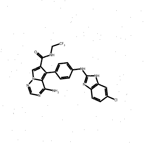 Nc1ncnn2cc(C(=O)NCC(F)(F)F)c(-c3ccc(Nc4nc5ccc(Cl)cc5[nH]4)cc3)c12